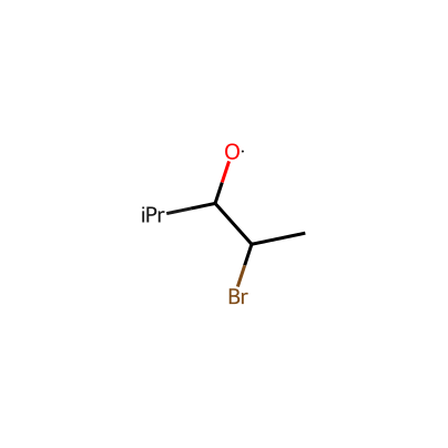 CC(C)C([O])C(C)Br